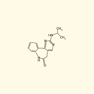 CC(C)Nc1ncc2c(n1)-c1ccccc1NC(=O)C2